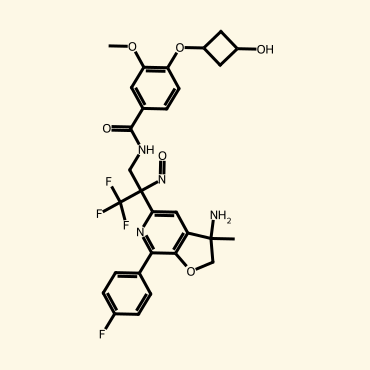 COc1cc(C(=O)NCC(N=O)(c2cc3c(c(-c4ccc(F)cc4)n2)OCC3(C)N)C(F)(F)F)ccc1OC1CC(O)C1